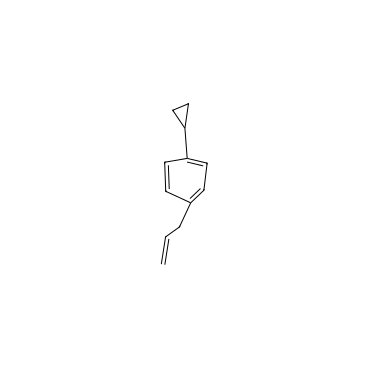 C=CCc1ccc(C2CC2)cc1